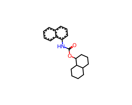 O=C(Nc1cccc2ccccc12)OC1CCCC2CCCCC21